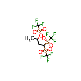 CC(CC(S(=O)(=O)C(F)(F)F)S(=O)(=O)C(F)(F)F)OS(=O)(=O)C(F)(F)F